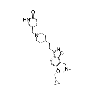 CN(C)Cc1c(OCC2CC2)ccc2c(CCC3CCN(Cc4ccc(=O)[nH]c4)CC3)noc12